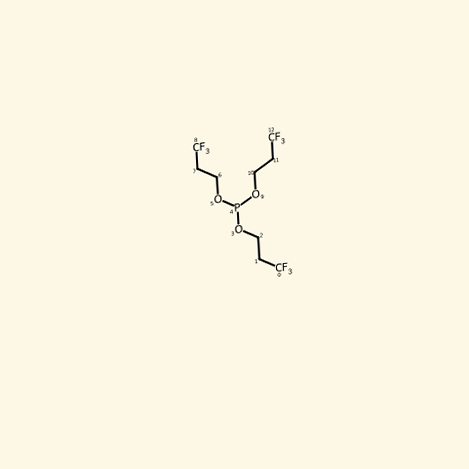 FC(F)(F)CCOP(OCCC(F)(F)F)OCCC(F)(F)F